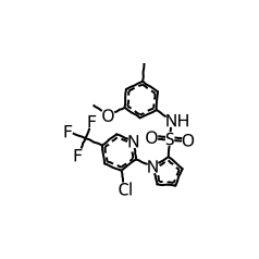 COc1cc(C)cc(NS(=O)(=O)c2cccn2-c2ncc(C(F)(F)F)cc2Cl)c1